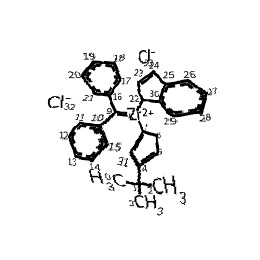 CC(C)(C)C1=CC[C]([Zr+2](=[C](c2ccccc2)c2ccccc2)[CH]2C=Cc3ccccc32)=C1.[Cl-].[Cl-]